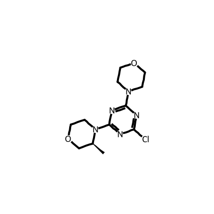 C[C@H]1COCCN1c1nc(Cl)nc(N2CCOCC2)n1